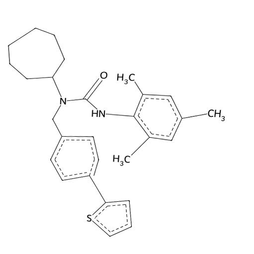 Cc1cc(C)c(NC(=O)N(Cc2ccc(-c3cccs3)cc2)C2CCCCCC2)c(C)c1